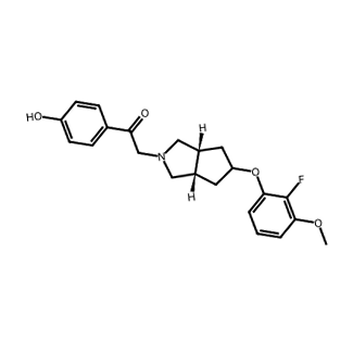 COc1cccc(OC2C[C@@H]3CN(CC(=O)c4ccc(O)cc4)C[C@@H]3C2)c1F